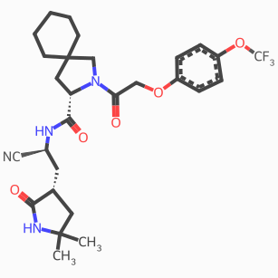 CC1(C)C[C@@H](C[C@@H](C#N)NC(=O)[C@@H]2CC3(CCCCC3)CN2C(=O)COc2ccc(OC(F)(F)F)cc2)C(=O)N1